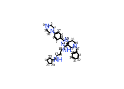 CN1CCN(c2ccc(-c3nc4c(c(NCCCNC5CCCC5)n3)CN(Cc3ccccc3)CC4)cc2)CC1